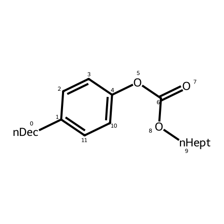 CCCCCCCCCCc1ccc(OC(=O)OCCCCCCC)cc1